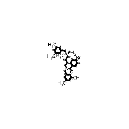 Cc1cc(C)cc(CN(CCCC[N+](C)(C)Cc2cc(C)cc(C)c2)C(=O)c2ccc(Br)cc2)c1